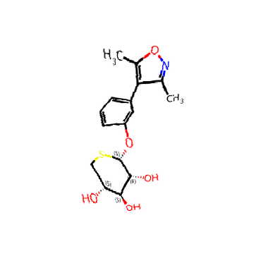 Cc1noc(C)c1-c1cccc(O[C@H]2SC[C@@H](O)[C@H](O)[C@H]2O)c1